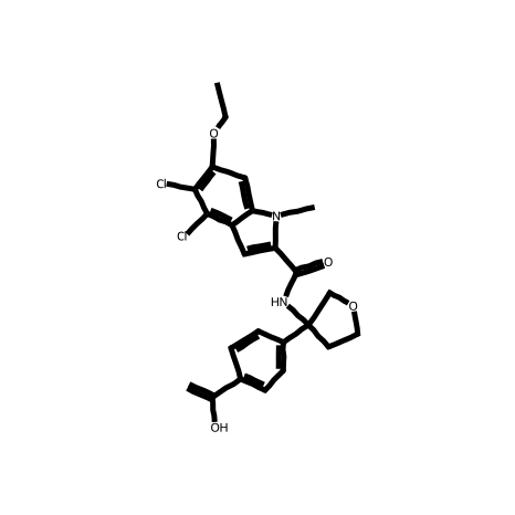 C=C(O)c1ccc(C2(NC(=O)c3cc4c(Cl)c(Cl)c(OCC)cc4n3C)CCOC2)cc1